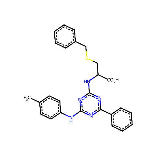 O=C(O)C(CSCc1ccccc1)Nc1nc(Nc2ccc(C(F)(F)F)cc2)nc(-c2ccccc2)n1